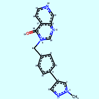 Cn1cc(-c2ccc(Cn3cnc4cnccc4c3=O)cc2)cn1